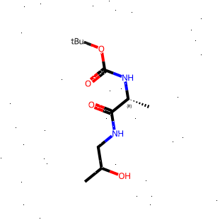 CC(O)CNC(=O)[C@@H](C)NC(=O)OC(C)(C)C